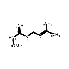 CONC(=N)NCC=C(C)C